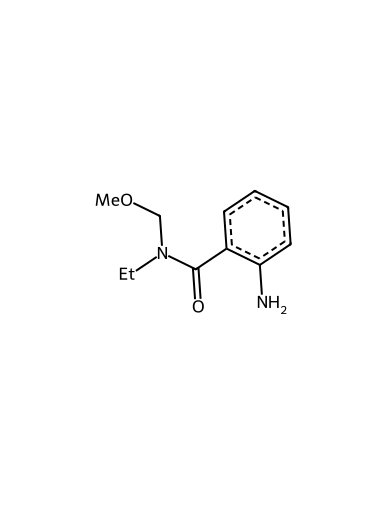 CCN(COC)C(=O)c1ccccc1N